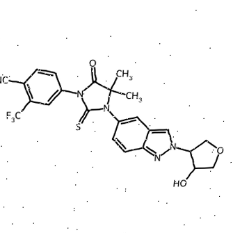 CC1(C)C(=O)N(c2ccc(C#N)c(C(F)(F)F)c2)C(=S)N1c1ccc2nn(C3COCC3O)cc2c1